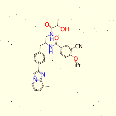 Cc1cccn2cc(-c3ccc(CC(CNC(=O)C(C)O)NC(=O)c4ccc(OC(C)C)c(C#N)c4)cc3)nc12